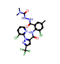 Cc1cc(Br)c(NC(=O)c2cc(C(F)(F)F)nn2-c2ncccc2Cl)c(C(=O)NNC(=O)N(C)C)c1